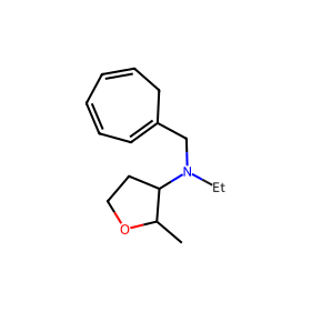 CCN(CC1=CC=CC=CC1)C1CCOC1C